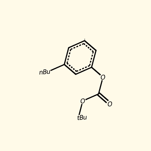 CCCCc1c[c]cc(OC(=O)OC(C)(C)C)c1